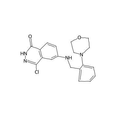 O=c1[nH]nc(Cl)c2cc(NCc3ccccc3N3CCOCC3)ccc12